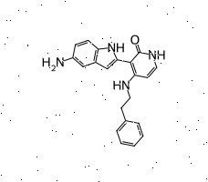 Nc1ccc2[nH]c(-c3c(NCCc4ccccc4)cc[nH]c3=O)cc2c1